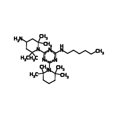 CCCCCCNc1nc(N2C(C)(C)CCCC2(C)C)nc(N2C(C)(C)CC(N)CC2(C)C)n1